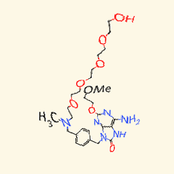 COCCOc1nc(N)c2[nH]c(=O)n(Cc3ccc(CN(C)CCOCCOCCOCCOCCO)cc3)c2n1